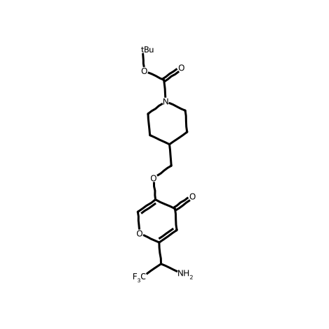 CC(C)(C)OC(=O)N1CCC(COc2coc(C(N)C(F)(F)F)cc2=O)CC1